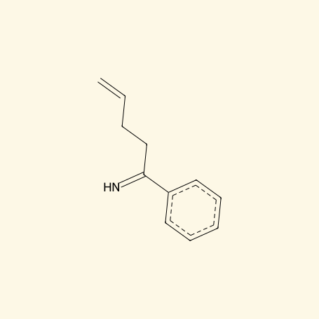 C=CCCC(=N)c1ccccc1